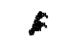 CS(=O)(=O)Oc1ccc(-c2ccc(-c3ccc(OCc4ccccc4)c(O)c3)c(OS(C)(=O)=O)c2)cc1